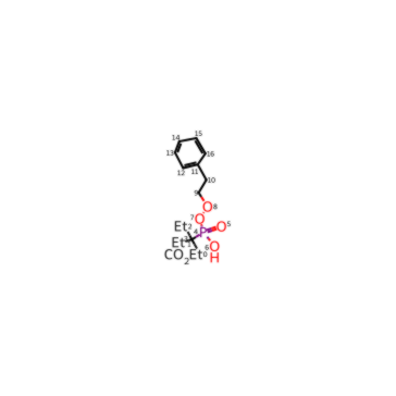 CCOC(=O)C(CC)(CC)P(=O)(O)OOCCc1ccccc1